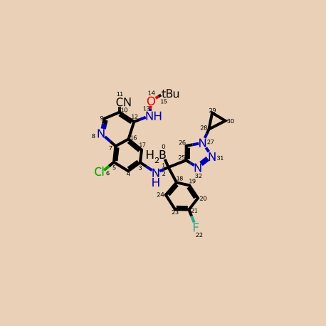 BC(Nc1cc(Cl)c2ncc(C#N)c(NOC(C)(C)C)c2c1)(c1ccc(F)cc1)c1cn(C2CC2)nn1